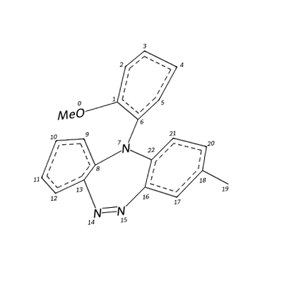 COc1ccccc1N1c2ccccc2N=Nc2cc(C)ccc21